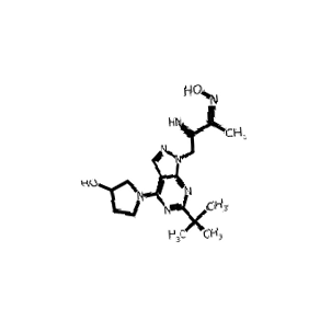 C/C(=N/O)C(=N)Cn1ncc2c(N3CCC(O)C3)nc(C(C)(C)C)nc21